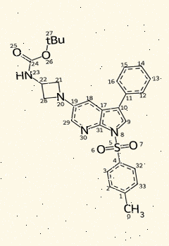 Cc1ccc(S(=O)(=O)n2cc(-c3ccccc3)c3cc(N4CC(NC(=O)OC(C)(C)C)C4)cnc32)cc1